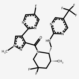 C[C@@H]1CC(F)(F)CN(C(=O)c2nn(C)cc2-c2ncc(F)cn2)[C@@H]1CNc1ncc(C(F)(F)F)cn1